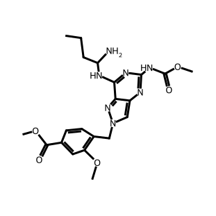 CCCC(N)Nc1nc(NC(=O)OC)nc2cn(Cc3ccc(C(=O)OC)cc3OC)nc12